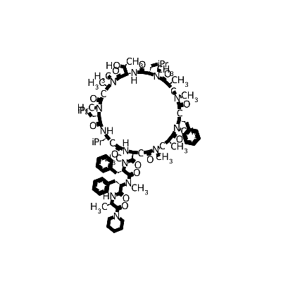 CC(C)C[C@H]1C(=O)N[C@@H](C(C)C)CC(=O)N[C@H](C(=O)N(C)[C@@H](Cc2ccccc2)C(=O)N(C)[C@@H](Cc2ccccc2)C(=O)N[C@@H](C)C(=O)N2CCCCC2)CC(=O)N(C)C[C@@H](C)C(=O)N(C)[C@@H](Cc2ccccc2)CC(=O)N(C)C[C@@H](C)C(=O)N(C)[C@@H](CC(C)C)C(=O)N[C@@H]([C@@H](C)O)C(=O)N(C)[C@@H](C)CC(=O)N1C